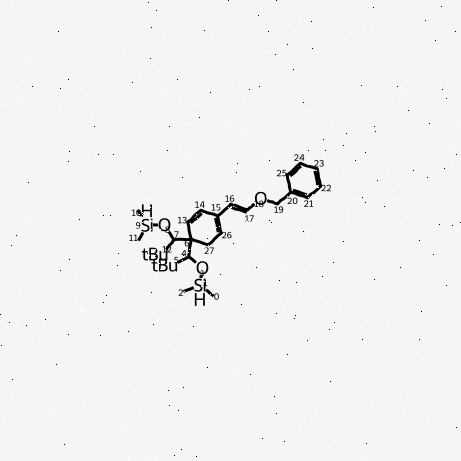 C[SiH](C)OC(C(C)(C)C)C1(C(O[SiH](C)C)C(C)(C)C)C=CC(C=COCc2ccccc2)=CC1